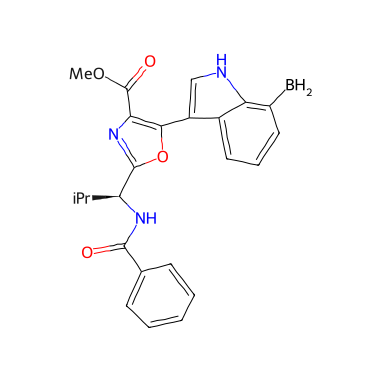 Bc1cccc2c(-c3oc([C@@H](NC(=O)c4ccccc4)C(C)C)nc3C(=O)OC)c[nH]c12